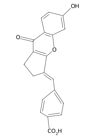 O=C(O)c1ccc(C=C2CCc3c2oc2cc(O)ccc2c3=O)cc1